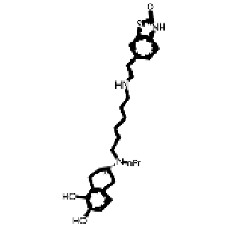 CCCN(CCCCCCNCCc1ccc2[nH]c(=O)sc2c1)[C@H]1CCc2c(ccc(O)c2O)C1